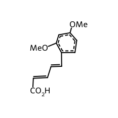 COc1ccc(C=CC=CC(=O)O)c(OC)c1